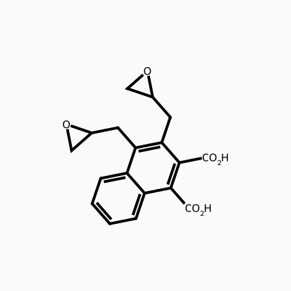 O=C(O)c1c(CC2CO2)c(CC2CO2)c2ccccc2c1C(=O)O